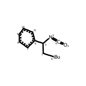 CCC(C)CC(N=C=O)c1ccccc1